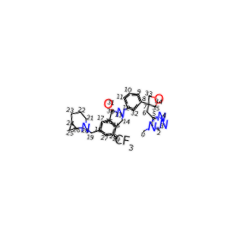 Cn1cnnc1CC1(c2cccc(N3Cc4c(cc(CN5CCCC6CC65)cc4C(F)(F)F)C3=O)c2)COC1